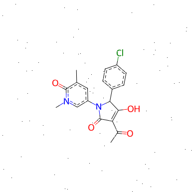 CC(=O)C1=C(O)C(c2ccc(Cl)cc2)N(c2cc(C)c(=O)n(C)c2)C1=O